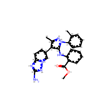 COC(=O)c1ccccc1Nc1c(-c2ccc3nc(N)nn3c2)c(C)nn1-c1ccccc1C